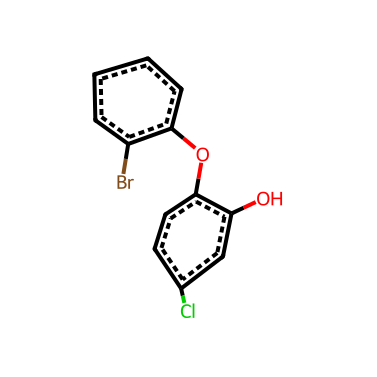 Oc1cc(Cl)ccc1Oc1ccccc1Br